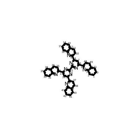 c1ccc2nc(-c3cc(-c4ccc5ccccc5n4)nc(-c4nc(-c5ccc6ccccc6n5)cc(-c5ccc6ccccc6n5)n4)n3)ccc2c1